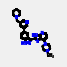 CN1CCN(c2ccnc3[nH]c(-c4n[nH]c5ccc(-c6cncc(CN7CCCCC7)c6)cc45)nc23)CC1